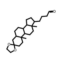 CC12CCC3C(CCC4CC5(CCC43C)OCCO5)C1CCC2CCCC=O